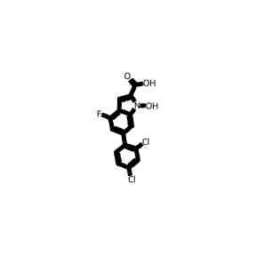 O=C(O)c1cc2c(F)cc(-c3ccc(Cl)cc3Cl)cc2n1O